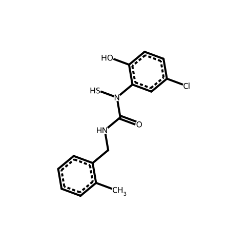 Cc1ccccc1CNC(=O)N(S)c1cc(Cl)ccc1O